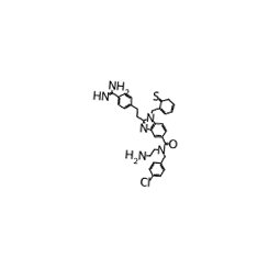 N=C(N)c1ccc(CCc2nc3cc(C(=O)N(CCN)Cc4ccc(Cl)cc4)ccc3n2CC2=CC=CCC2=S)cc1